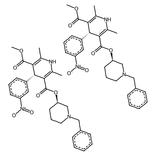 COC(=O)C1=C(C)NC(C)=C(C(=O)O[C@@H]2CCCN(Cc3ccccc3)C2)[C@@H]1c1cccc([N+](=O)[O-])c1.COC(=O)C1=C(C)NC(C)=C(C(=O)O[C@@H]2CCCN(Cc3ccccc3)C2)[C@@H]1c1cccc([N+](=O)[O-])c1